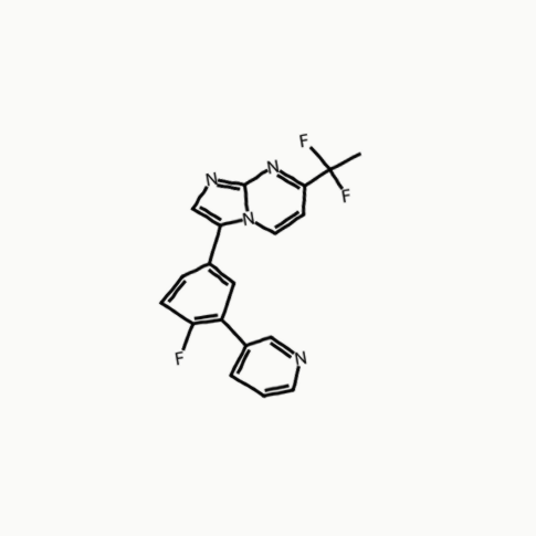 CC(F)(F)c1ccn2c(-c3ccc(F)c(-c4cccnc4)c3)cnc2n1